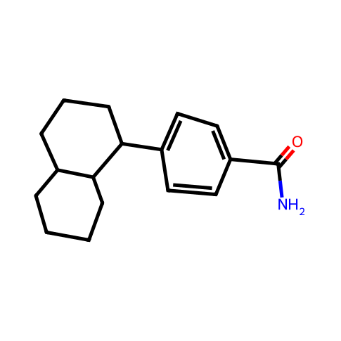 NC(=O)c1ccc(C2CCCC3CCCCC32)cc1